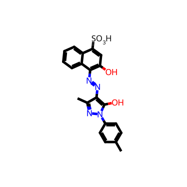 Cc1ccc(-n2nc(C)c(N=Nc3c(O)cc(S(=O)(=O)O)c4ccccc34)c2O)cc1